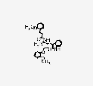 COc1ccccc1CCC(=O)N[C@@H](N)C(Cc1c[nH]c2ccccc12)C(=O)COc1ccccc1OC